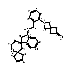 O=C1CC2(C1)CN(c1ccccc1CNCCC1(c3ccccn3)CCOC3(CC=CC3)C1)C2